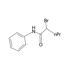 CCCC(Br)C(=O)Nc1[c]cccc1